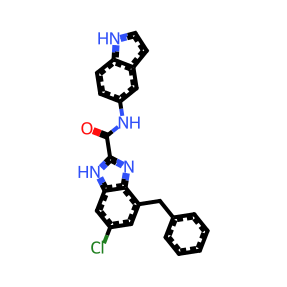 O=C(Nc1ccc2[nH]ccc2c1)c1nc2c(Cc3ccccc3)cc(Cl)cc2[nH]1